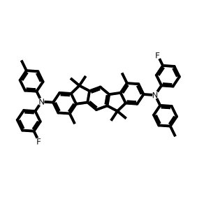 Cc1ccc(N(c2cccc(F)c2)c2cc(C)c3c(c2)C(C)(C)c2cc4c(cc2-3)C(C)(C)c2cc(N(c3ccc(C)cc3)c3cccc(F)c3)cc(C)c2-4)cc1